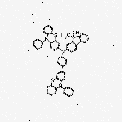 CC1(C)c2ccccc2-c2ccc(N(c3ccc(-c4ccc5c(c4)Sc4ccccc4N5c4ccccc4)cc3)c3ccc4c(c3)Sc3ccccc3N4c3ccccc3)cc21